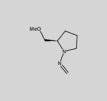 C=NN1CCC[C@@H]1COC